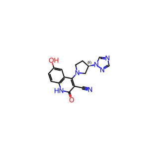 N#Cc1c(N2CC[C@@H](n3cncn3)C2)c2cc(O)ccc2[nH]c1=O